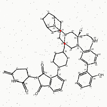 C=C1CCC(N2C(=O)c3cccc(N4CCC(CCCN5C6CCC5CC(N5CCN7c8cc(-c9ccccc9O)nnc8NC[C@H]7C5)C6)CC4)c3C2=O)C(=O)N1